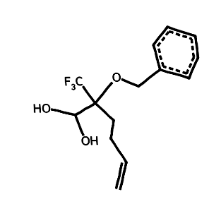 C=CCCC(OCc1ccccc1)(C(O)O)C(F)(F)F